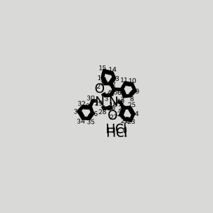 Cl.Cl.O=C1C(C(c2ccccc2)c2ccccc2)N(Cc2ccccc2)C(=O)CN1Cc1ccccc1